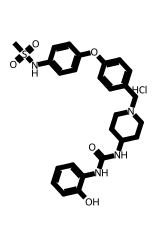 CS(=O)(=O)Nc1ccc(Oc2ccc(CN3CCC(NC(=O)Nc4ccccc4O)CC3)cc2)cc1.Cl